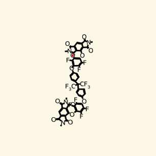 Cn1c(=O)c2cc3c(=O)n(C)c(=O)c3c(Oc3c(F)c(F)c(Oc4ccc(C(c5ccc(Oc6c(F)c(F)c(Oc7c8c(=O)n(C)c(=O)c8cc8c(=O)n(C)c(=O)c78)c(F)c6F)cc5)(C(F)(F)F)C(F)(F)F)cc4)c(F)c3F)c2c1=O